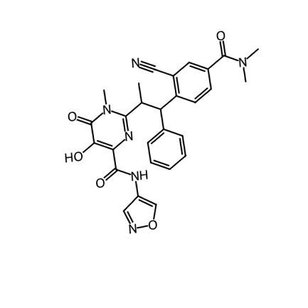 CC(c1nc(C(=O)Nc2cnoc2)c(O)c(=O)n1C)C(c1ccccc1)c1ccc(C(=O)N(C)C)cc1C#N